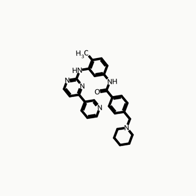 Cc1ccc(NC(=O)c2ccc(CN3CCCCC3)cc2)cc1Nc1nccc(-c2cccnc2)n1